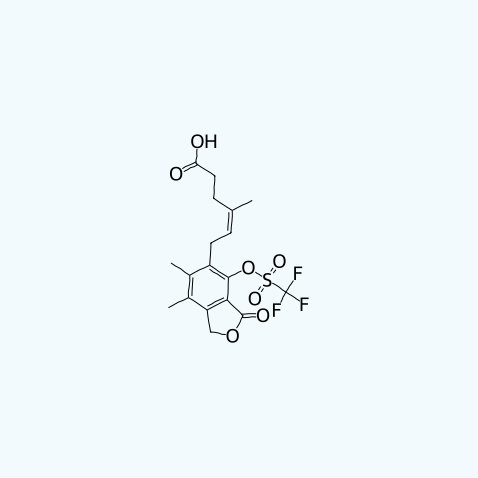 CC(=CCc1c(C)c(C)c2c(c1OS(=O)(=O)C(F)(F)F)C(=O)OC2)CCC(=O)O